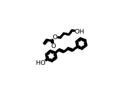 C=CC(=O)OCCCCO.Oc1ccc(C=CC=Cc2ccccc2)cc1